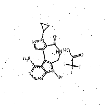 CC(C)n1c2c(c3c(N)ncnc31)-c1cnn(C3CC3)c1C(=O)NC2.O=C(O)C(F)(F)F